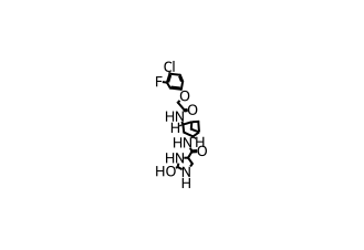 O=C(COc1ccc(Cl)c(F)c1)N[C@H]1C[C@@H](NC(=O)C2CNC(O)N2)C2CC1C2